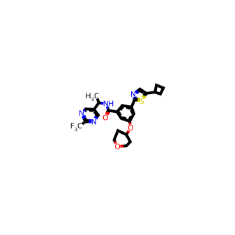 CC(NC(=O)c1cc(OC2CCOCC2)cc(-c2ncc(C3CCC3)s2)c1)c1cnc(C(F)(F)F)nc1